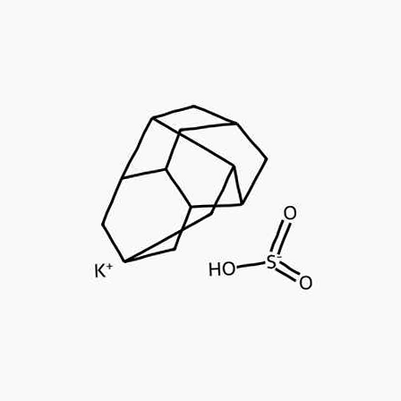 C1C2CC3C4CC5CC(C14)C(C2)C3C5.O=[S-](=O)O.[K+]